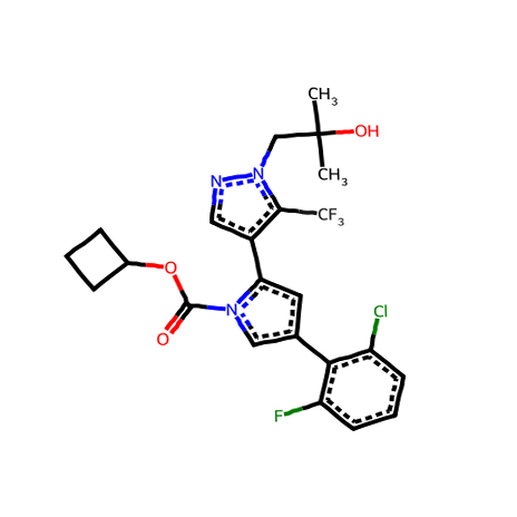 CC(C)(O)Cn1ncc(-c2cc(-c3c(F)cccc3Cl)cn2C(=O)OC2CCC2)c1C(F)(F)F